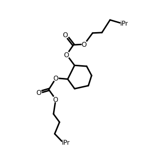 CC(C)CCCOC(=O)OC1CCCCC1OC(=O)OCCCC(C)C